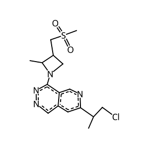 CC(CCl)c1cc2cnnc(N3CC(CS(C)(=O)=O)C3C)c2cn1